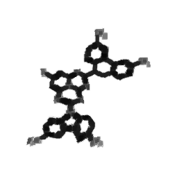 FC1=CC2=NC(C3Cc4ccc(C(F)(F)F)cc4-c4cc(C(F)(F)F)ccc43)=NC3=NC(n4c5ccc(C(F)(F)F)cc5c5cc(C(F)(F)F)ccc54)=NC(=C1)N23